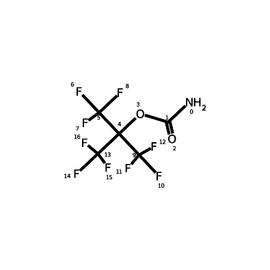 NC(=O)OC(C(F)(F)F)(C(F)(F)F)C(F)(F)F